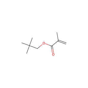 C=C(C)C(=O)OCC(C)(C)C